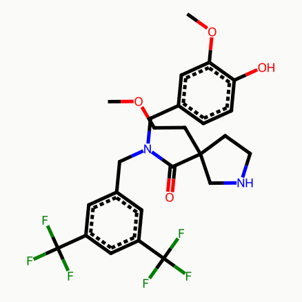 COCCC1(C(=O)N(Cc2cc(C(F)(F)F)cc(C(F)(F)F)c2)Cc2ccc(O)c(OC)c2)CCNC1